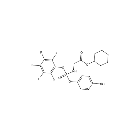 CC(C)(C)c1ccc(OP(=O)(NCC(=O)OC2CCCCC2)Oc2c(F)c(F)c(F)c(F)c2F)cc1